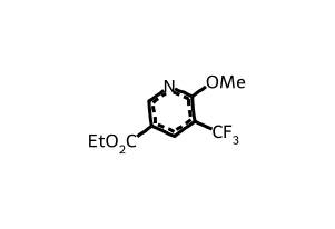 CCOC(=O)c1cnc(OC)c(C(F)(F)F)c1